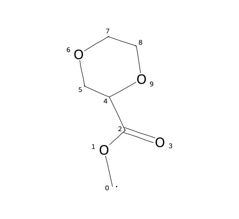 [CH2]OC(=O)C1COCCO1